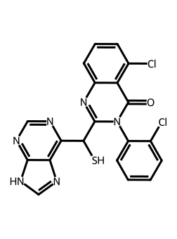 O=c1c2c(Cl)cccc2nc(C(S)c2ncnc3[nH]cnc23)n1-c1ccccc1Cl